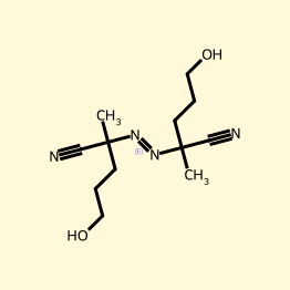 CC(C#N)(CCCO)/N=N/C(C)(C#N)CCCO